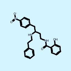 O=C(NCCC(Cc1ccc([N+](=O)[O-])cc1)NCCc1ccccc1)c1ccccc1O